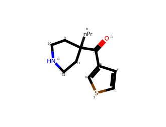 CCCC1(C(=O)c2ccsc2)CCNCC1